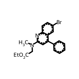 CCOC(=O)CN(C)c1cc(-c2ccccc2)c2cc(Br)ccc2n1